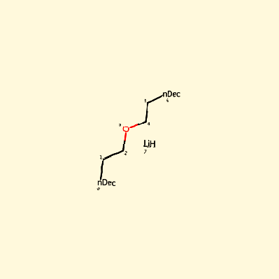 CCCCCCCCCCCCOCCCCCCCCCCCC.[LiH]